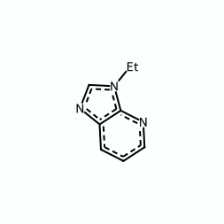 CCn1cnc2cccnc21